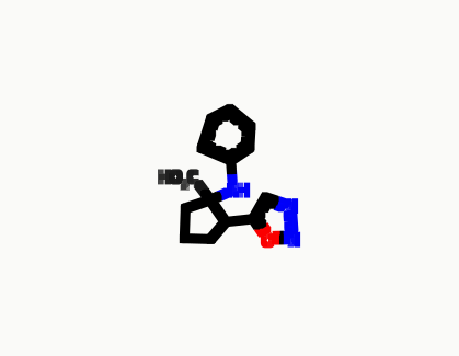 O=C(O)C1(Nc2ccccc2)CCCC1c1cnno1